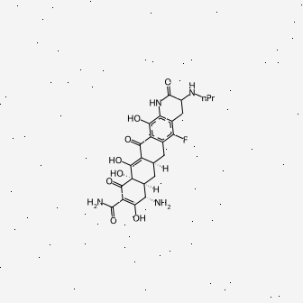 CCCNC1Cc2c(F)c3c(c(O)c2NC1=O)C(=O)C1=C(O)[C@]2(O)C(=O)C(C(N)=O)=C(O)[C@@H](N)[C@@H]2C[C@@H]1C3